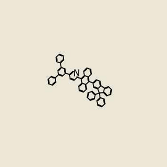 c1ccc(-c2cc(-c3ccccc3)cc(-c3ccc(-c4c5ccccc5c(-c5ccc6c(c5)C(c5ccccc5)(c5ccccc5)c5ccccc5-6)c5ccccc45)nc3)c2)cc1